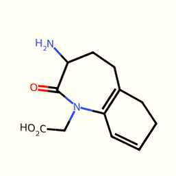 NC1CCC2=C(C=CCC2)N(CC(=O)O)C1=O